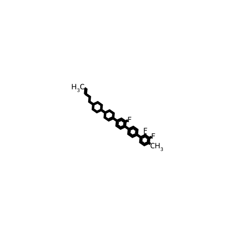 C/C=C/CCC1CCC(C2CC=C(c3ccc(-c4ccc(-c5ccc(C)c(F)c5F)cc4)c(F)c3)CC2)CC1